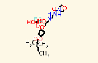 CCCCC(C)(C)C(=O)Oc1ccc(OCC(O)CNCCNC(=O)N2CCOCC2)cc1.O=C(O)C(F)(F)F